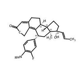 CC=C[C@]1(O)CC[C@H]2[C@@H]3CCC4=CC(=O)CCC4=C3[C@@H](c3ccc(NC)c(F)c3)C[C@@]21C